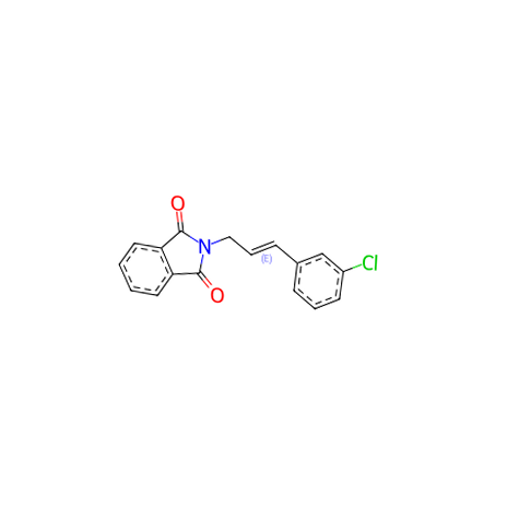 O=C1c2ccccc2C(=O)N1C/C=C/c1cccc(Cl)c1